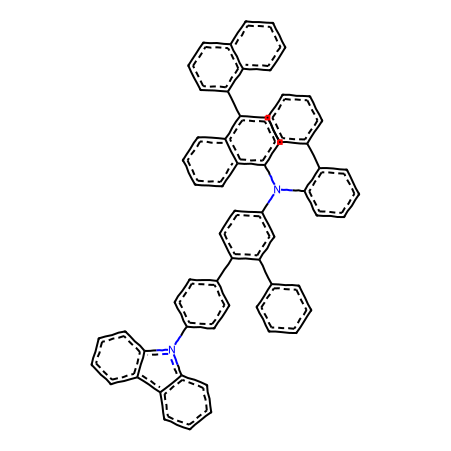 c1ccc(-c2cc(N(c3ccccc3-c3ccccc3)c3ccc(-c4cccc5ccccc45)c4ccccc34)ccc2-c2ccc(-n3c4ccccc4c4ccccc43)cc2)cc1